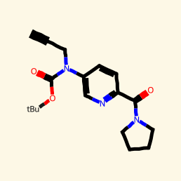 C#CCN(C(=O)OC(C)(C)C)c1ccc(C(=O)N2CCCC2)nc1